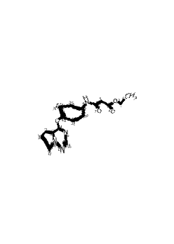 CCOC(=O)CC(=O)Nc1ccc(Oc2ncnn3cccc23)c(F)c1